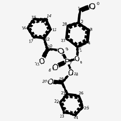 O=Cc1ccc(OP(=O)(OC(=O)c2ccccc2)OC(=O)c2ccccc2)cc1